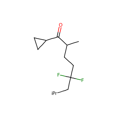 CC(C)CC(F)(F)CCC(C)C(=O)C1CC1